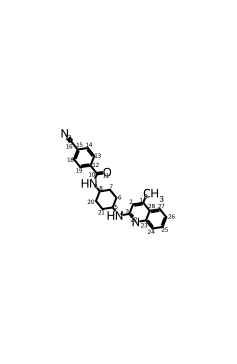 Cc1cc(NC2CCC(NC(=O)c3ccc(C#N)cc3)CC2)nc2ccccc12